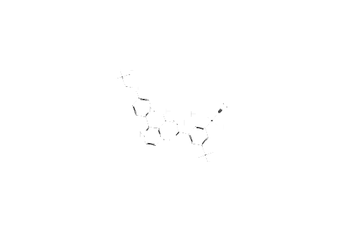 CC(NC(=O)c1cc(C(F)(F)F)cc(C(C)(C)C#N)c1)c1nccnc1-c1ccc(OCC(F)(F)F)cn1